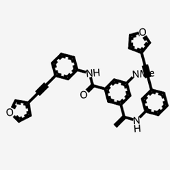 C=C(Nc1cccc(C#Cc2ccoc2)c1)c1cc(NC)cc(C(=O)Nc2cccc(C#Cc3ccoc3)c2)c1